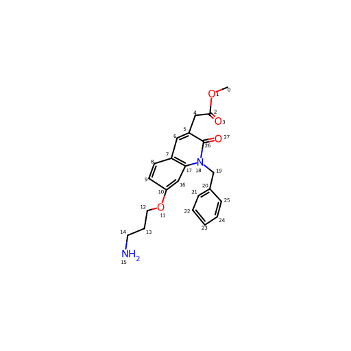 COC(=O)Cc1cc2ccc(OCCCN)cc2n(Cc2ccccc2)c1=O